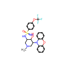 CN1CC(NS(=N)(=O)c2ccc(OC(F)(F)F)cc2)C(O)C(N2c3ccccc3Oc3ccccc32)C1